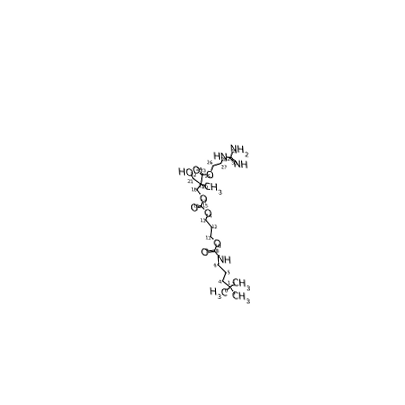 CC(C)(C)CCCNC(=O)OCCCOC(=O)OCC(C)(CO)C(=O)OCCNC(=N)N